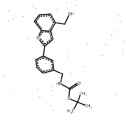 CC(C)(C)OC(=O)NCc1cccc(-c2cc3c(CO)cccc3o2)c1